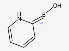 O/B=C1/C=CC=CN1